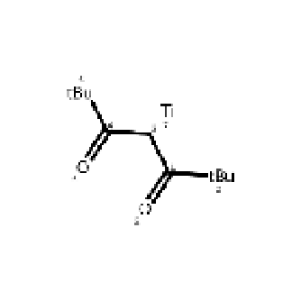 CC(C)(C)C(=O)CC(=O)C(C)(C)C.[Ti]